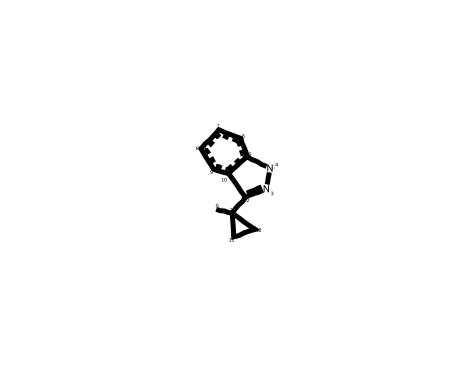 CC1(C2=N[N]c3ccccc32)CC1